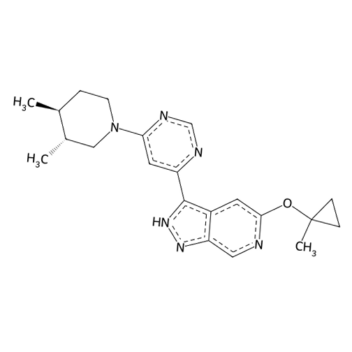 C[C@H]1CCN(c2cc(-c3[nH]nc4cnc(OC5(C)CC5)cc34)ncn2)C[C@@H]1C